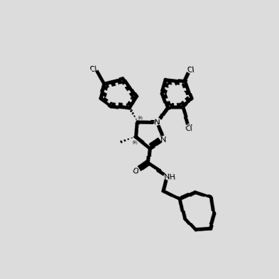 C[C@H]1C(C(=O)NCC2CCCCCC2)=NN(c2ccc(Cl)cc2Cl)[C@H]1c1ccc(Cl)cc1